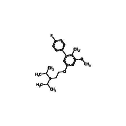 [CH2]c1c(OC)cc(OCCN(C(C)C)C(C)C)cc1-c1ccc(F)cc1